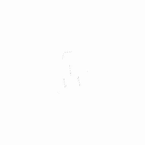 COc1ccc([N+](=O)[O-])cc1C1OCCO1